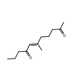 CCCC(=O)/C=C(\C)CCCC(C)=O